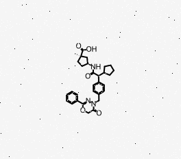 C[C@@]1(C(=O)O)CC[C@H](NC(=O)C(c2ccc(CN3N=C(c4ccccc4)OCC3=O)cc2)C2CCCC2)C1